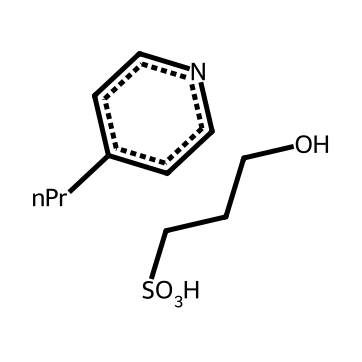 CCCc1ccncc1.O=S(=O)(O)CCCO